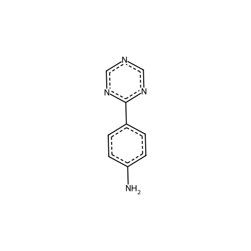 Nc1ccc(-c2ncncn2)cc1